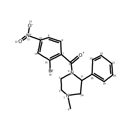 CN1CCN(C(=O)c2ccc([N+](=O)[O-])cc2Br)C(c2ccccc2)C1